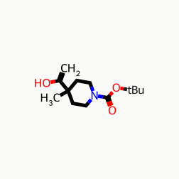 C=C(O)C1(C)CCN(C(=O)OC(C)(C)C)CC1